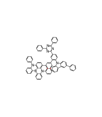 c1ccc(-c2ccc3c(c2)c2ccccc2n3-c2ccc(-c3nc(-c4ccccc4)nc(-c4ccccc4)n3)cc2-c2cccc(-c3ccc4c5c3N(c3ccccc3)c3ccccc3B5c3ccccc3N4c3ccccc3)c2)cc1